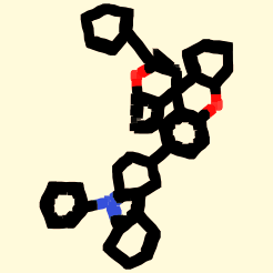 C1=CCC2Oc3ccc(C4CCc5c(c6c(n5-c5ccccc5)CCC=C6)C4)cc3C3(C2=C1)C1=C(Oc2ccccc23)C(C2=CCCC=C2)CCC1